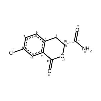 NC(=O)[C@H]1Cc2ccc(Cl)cc2C(=O)O1